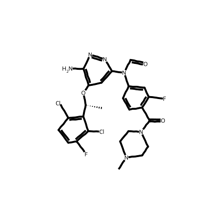 C[C@@H](Oc1cc(N(C=O)c2ccc(C(=O)N3CCN(C)CC3)c(F)c2)nnc1N)c1c(Cl)ccc(F)c1Cl